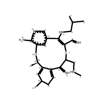 CNCC1C/C(C=N)=C(/NCC(C)C)c2cnc(N)c(c2)O[C@H](C)C2=CC(F)CC=C2C1=N